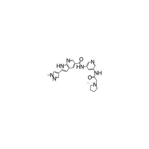 C[C@H]1CCCN1CC(=O)Nc1cncc(NC(=O)c2cnc3[nH]c(-c4cnn(C)c4)cc3c2)c1